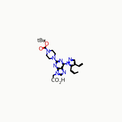 C=Cc1cnn(-c2nc(N3CCN(C(=O)OC(C)(C)C)CC3)nc3c2ncn3CC(=O)O)c1/C=C\C